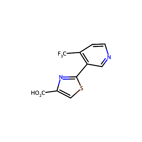 O=C(O)c1csc(-c2cnccc2C(F)(F)F)n1